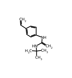 C=Cc1ccc(NC(=C)NC(C)(C)C)cc1